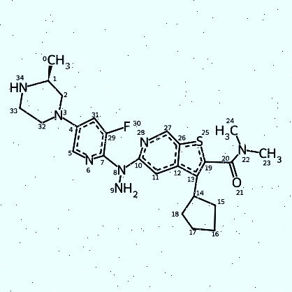 C[C@H]1CN(c2cnc(N(N)c3cc4c(C5CCCC5)c(C(=O)N(C)C)sc4cn3)c(F)c2)CCN1